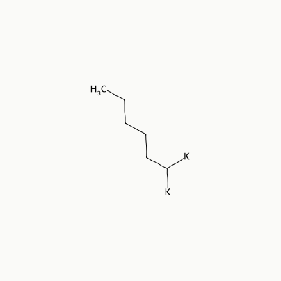 CCCCC[CH]([K])[K]